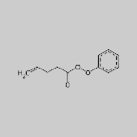 C=CCCC(=O)OOc1ccccc1